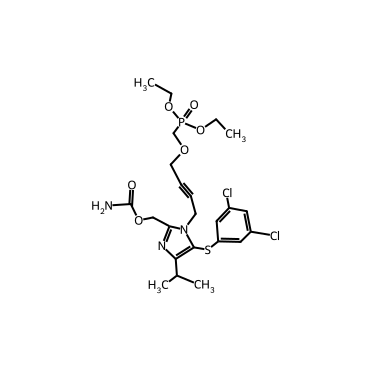 CCOP(=O)(COCC#CCn1c(COC(N)=O)nc(C(C)C)c1Sc1cc(Cl)cc(Cl)c1)OCC